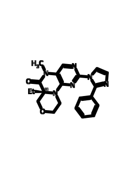 CC[C@]12COCCN1c1nc(-n3ccnc3-c3ccccc3)ncc1N(C)C2=O